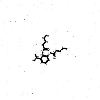 CCCCC(=O)Oc1cccc(C(C)C)c1OC(=O)CCCC